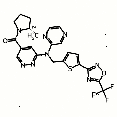 C[C@H]1CCCN1C(=O)c1cnnc(N(Cc2ccc(-c3noc(C(F)(F)F)n3)s2)c2cnccn2)c1